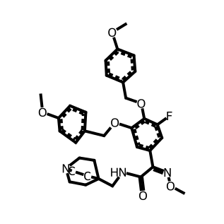 CO/N=C(\C(=O)NCC12CCN(CC1)CC2)c1cc(F)c(OCc2ccc(OC)cc2)c(OCc2ccc(OC)cc2)c1